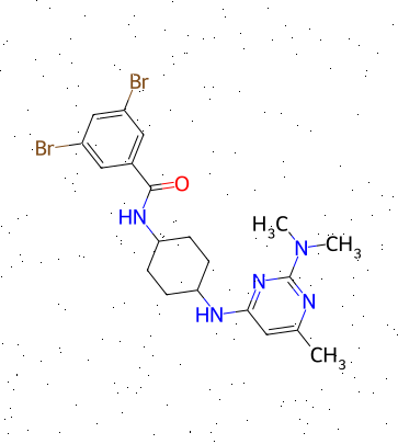 Cc1cc(NC2CCC(NC(=O)c3cc(Br)cc(Br)c3)CC2)nc(N(C)C)n1